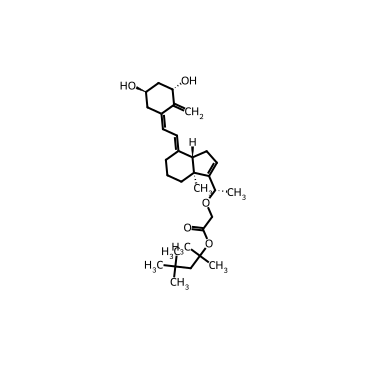 C=C1C(=CC=C2CCC[C@]3(C)C([C@H](C)OCC(=O)OC(C)(C)CC(C)(C)C)=CC[C@@H]23)C[C@@H](O)C[C@@H]1O